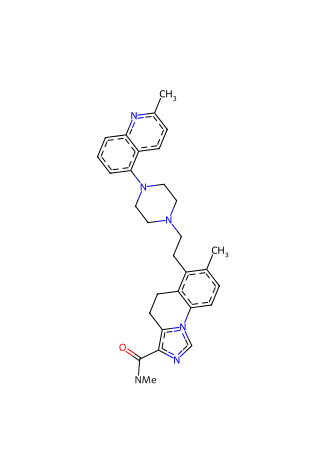 CNC(=O)c1ncn2c1CCc1c-2ccc(C)c1CCN1CCN(c2cccc3nc(C)ccc23)CC1